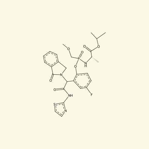 COCP(=O)(N[C@@H](C)C(=O)OC(C)C)Oc1ccc(F)cc1C(C(=O)Nc1nccs1)N1Cc2ccccc2C1=O